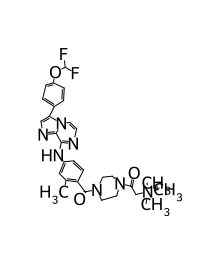 Cc1cc(Nc2nccn3c(-c4ccc(OC(F)F)cc4)cnc23)ccc1C(=O)N1CCN(C(=O)C[N+](C)(C)C)CC1